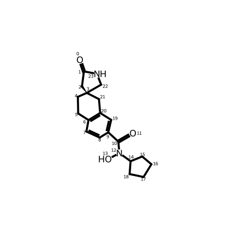 O=C1C[C@@]2(CCc3ccc(C(=O)N(O)C4CCCC4)cc3C2)CN1